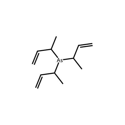 C=CC(C)[As](C(C)C=C)C(C)C=C